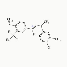 C=Cc1ccc(/C(F)=C/C(c2ccc(Cl)c(C)c2)C(F)(F)F)cc1C(F)(F)C(C)CC